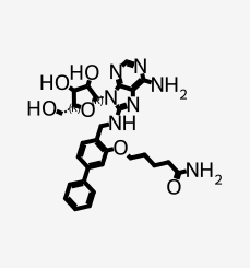 NC(=O)CCCCOc1cc(-c2ccccc2)ccc1CNc1nc2c(N)ncnc2n1[C@@H]1O[C@H](CO)C(O)C1O